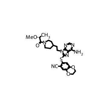 CO[C@H](C)C(=O)N1CCC(CCn2c(Sc3cc4c(cc3C#N)OCCO4)nc3c(N)ncnc32)CC1